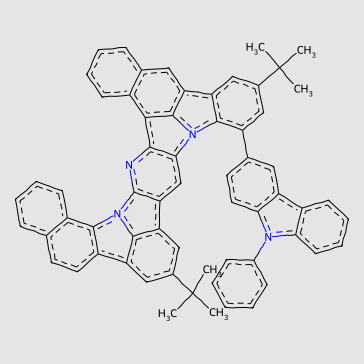 CC(C)(C)c1cc(-c2ccc3c(c2)c2ccccc2n3-c2ccccc2)c2c(c1)c1cc3ccccc3c3c4nc5c(cc4n2c13)c1cc(C(C)(C)C)cc2c3ccc4ccccc4c3n5c12